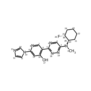 CN(c1cnc(-c2cnc(-n3ccnc3)cc2O)nn1)[C@@H]1CCCC[C@H]1F